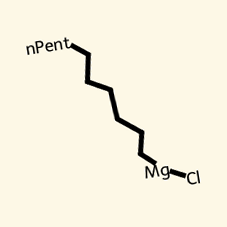 CCCCCCCCCC[CH2][Mg][Cl]